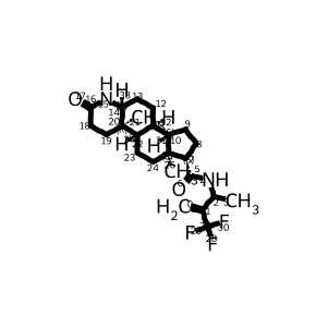 C=C(C(C)NC(=O)[C@H]1CC[C@H]2[C@@H]3CC[C@H]4NC(=O)CC[C@]4(C)[C@H]3CC[C@]12C)C(F)(F)F